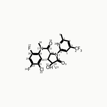 Cc1cc(C(F)(F)F)cc(N2C(=O)[C@@](C)(O)C[C@H]2C(=O)N(C)c2cc(Cl)c(F)cc2F)n1